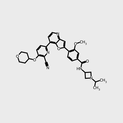 COc1cc(C(=O)NC2CN(C(C)C)C2)ccc1-c1cc2nccc(-c3ccc(OC4CCOCC4)c(C#N)n3)c2o1